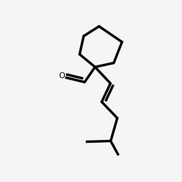 CC(C)CC=CC1(C=O)CCCCC1